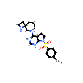 Cc1ccc(S(=O)(=O)n2ccc3c(N4CCCC5(CCN5)C4)ncnc32)cc1